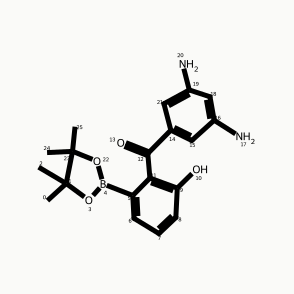 CC1(C)OB(c2cccc(O)c2C(=O)c2cc(N)cc(N)c2)OC1(C)C